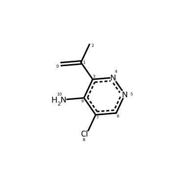 C=C(C)c1nncc(Cl)c1N